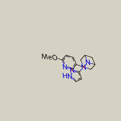 COc1ccc(CN2C3CC2CN(c2cc[nH]n2)C3)cn1